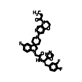 C=CC(=O)N1CCOc2cc(N3CCC4(CC3)CN(CC(=O)N[C@H](Cc3ccc(F)c(F)c3)c3nnco3)c3ccc(F)cc34)ncc21